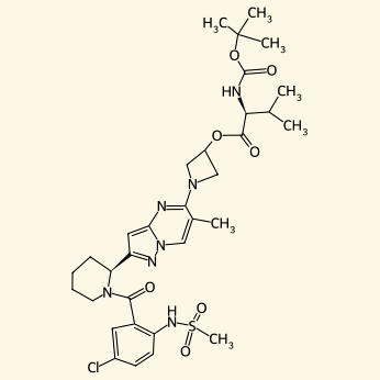 Cc1cn2nc([C@@H]3CCCCN3C(=O)c3cc(Cl)ccc3NS(C)(=O)=O)cc2nc1N1CC(OC(=O)[C@@H](NC(=O)OC(C)(C)C)C(C)C)C1